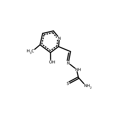 Cc1ccnc(C=NNC(N)=S)c1O